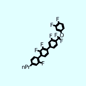 CCCc1ccc(-c2ccc(-c3ccc(C(F)(F)Oc4ccc(F)c(F)c4)c(F)c3)c(F)c2F)c(F)c1